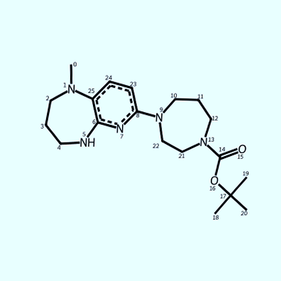 CN1CCCNc2nc(N3CCCN(C(=O)OC(C)(C)C)CC3)ccc21